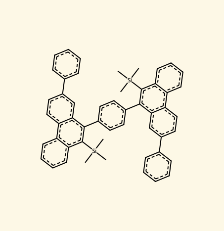 C[Si](C)(C)c1c(-c2ccc(-c3c([Si](C)(C)C)c4ccccc4c4ccc(-c5ccccc5)cc34)cc2)c2cc(-c3ccccc3)ccc2c2ccccc12